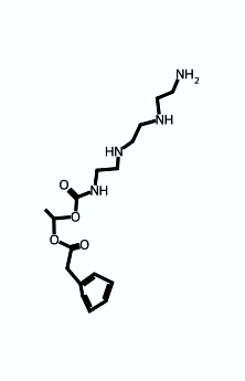 CC(OC(=O)Cc1ccccc1)OC(=O)NCCNCCNCCN